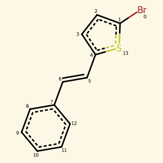 Brc1ccc(C=Cc2ccccc2)s1